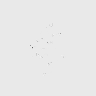 COc1cc2nccc(-c3nn4c(c3Nc3cccc(Cl)c3OC)C(=O)NCC4)c2[nH]1